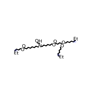 CC/C=C\CCCCOC(CCC(=O)OCCCCCCN(CCO)CCCCCCCC(=O)OCC/C=C\CC)OCCCC/C=C\CC